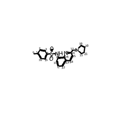 Cc1ccc(S(=O)(=O)Nc2cccc3ccc(CN4CCCC4)nc23)cc1